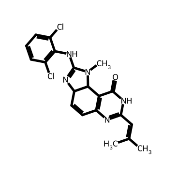 CC(C)=Cc1nc2c(c(=O)[nH]1)C1C(C=C2)N=C(Nc2c(Cl)cccc2Cl)N1C